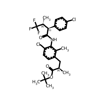 Cc1c(C[C@@H](C)C(=O)OC(C)(C)C)ccc(Cl)c1NC(=O)[C@H](c1ccc(Cl)cc1)[C@@H](C)C(F)(F)F